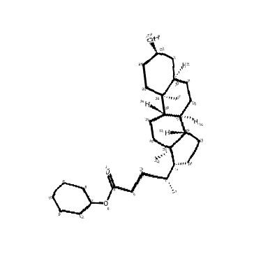 C[C@H](CCC(=O)OC1CCCCC1)[C@H]1CC[C@H]2[C@@H]3CC[C@@H]4C[C@H](O)CC[C@]4(C)[C@H]3CC[C@]12C